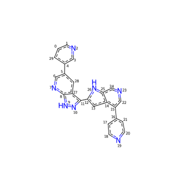 c1cncc(-c2cnc3[nH]nc(-c4cc5c(-c6ccncc6)cncc5[nH]4)c3c2)c1